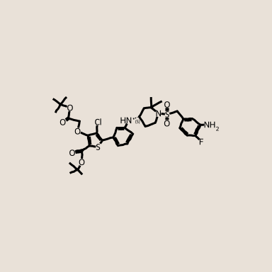 CC(C)(C)OC(=O)COc1c(C(=O)OC(C)(C)C)sc(-c2cccc(N[C@H]3CCN(S(=O)(=O)Cc4ccc(F)c(N)c4)C(C)(C)C3)c2)c1Cl